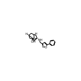 O[C@]12C[C@H]3C[C@@H](C1)C[C@@](NCc1cc(-c4ccccc4)on1)(C3)C2